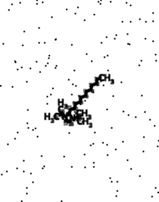 CCCCCCCCCCCCC1N(C(C)C)C=CN1C(C)C